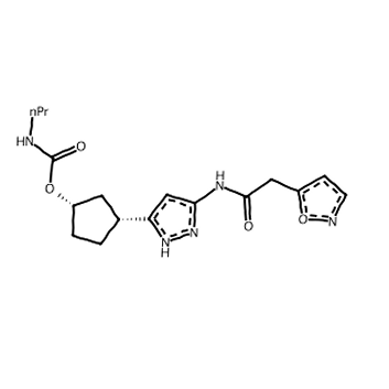 CCCNC(=O)O[C@H]1CC[C@@H](c2cc(NC(=O)Cc3ccno3)n[nH]2)C1